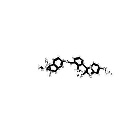 COc1ccn2c(-c3cccc(COc4ccc5c(c4)C[C@H]4[C@H](C=O)[C@@H]54)c3C)c(C)nc2c1